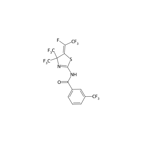 O=C(NC1=NC(C(F)(F)F)(C(F)(F)F)/C(=C(\F)C(F)(F)F)S1)c1cccc(C(F)(F)F)c1